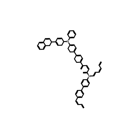 C=C/C=C\C=C\N(C(=C)/C=C\C(=C)C1=CC=C(C2=CC=C(N(c3ccccc3)C3C=CC(C4C=Cc5ccccc5C4)=CC3)CC2)CC1)c1ccc(-c2ccc(/C=C\C=C)cc2)cc1